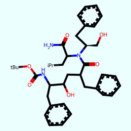 CC(C)CC(C(N)=O)N(C(=O)C(Cc1ccccc1)CC(O)C(Cc1ccccc1)NC(=O)OC(C)(C)C)[C@H](CO)Cc1ccccc1